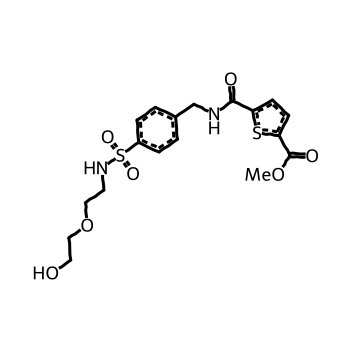 COC(=O)c1ccc(C(=O)NCc2ccc(S(=O)(=O)NCCOCCO)cc2)s1